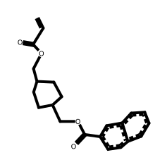 C=CC(=O)OCC1CCC(COC(=O)c2ccc3ccccc3c2)CC1